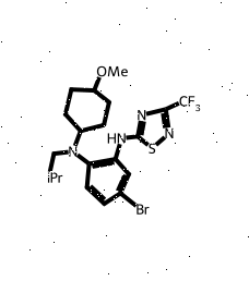 COC1CCC(N(CC(C)C)c2ccc(Br)cc2Nc2nc(C(F)(F)F)ns2)CC1